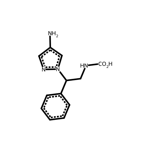 Nc1cnn(C(CNC(=O)O)c2ccccc2)c1